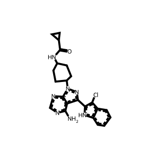 Nc1ncnc2c1c(-c1[nH]c3ccccc3c1Cl)nn2C1CCC(NC(=O)C2CC2)CC1